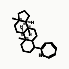 C[C@@]12CCC[C@H]1[C@@H]1CCC3C(C4=CC=CC=CN4)CCC[C@]3(C)[C@H]1CC2